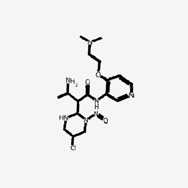 CC(N)C(C(=O)Nc1cnccc1OCCN(C)C)C1NCC(Cl)CN1N=O